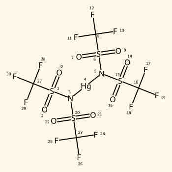 O=S(=O)([N]([Hg][N](S(=O)(=O)C(F)(F)F)S(=O)(=O)C(F)(F)F)S(=O)(=O)C(F)(F)F)C(F)(F)F